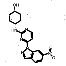 O=[N+]([O-])c1ccc2cnn(-c3ccnc(N[C@H]4CC[C@H](O)CC4)n3)c2c1